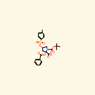 Cc1ccc(S(=O)(=O)O[C@H]2CN(C(=O)OC(C)(C)C)[C@](OC(=O)c3ccccc3)(C(=O)O)C2)cc1